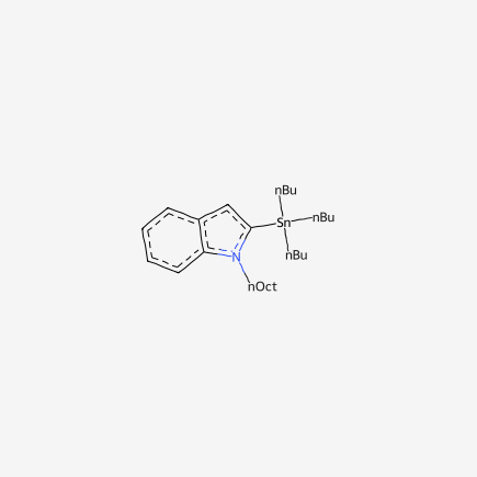 CCCCCCCCn1[c]([Sn]([CH2]CCC)([CH2]CCC)[CH2]CCC)cc2ccccc21